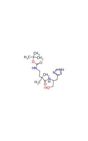 CC(C)(C)OC(=O)NCCC(C)(C)C(=O)NC(CO)Cc1c[nH]cn1